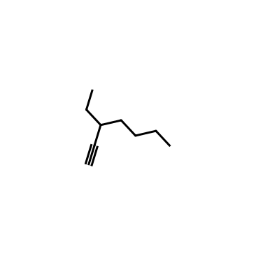 [C]#CC(CC)CCCC